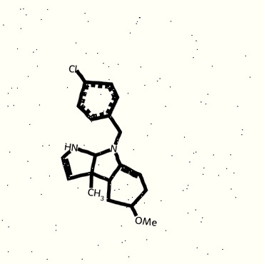 COC1CC=C2C(C1)C1(C)C=CNC1N2Cc1ccc(Cl)cc1